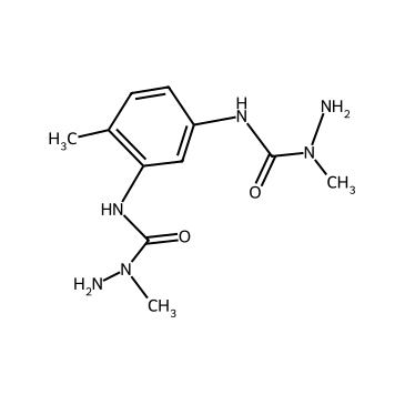 Cc1ccc(NC(=O)N(C)N)cc1NC(=O)N(C)N